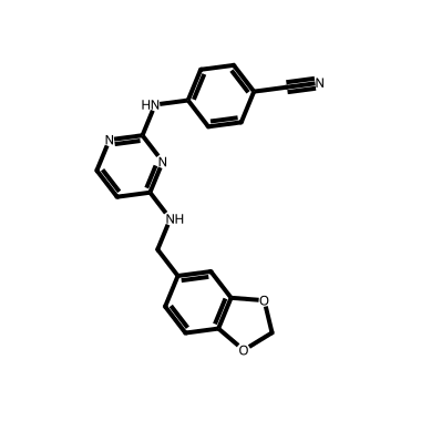 N#Cc1ccc(Nc2nccc(NCc3ccc4c(c3)OCO4)n2)cc1